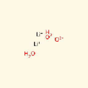 O.O.[Li+].[Li+].[O-2]